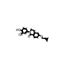 O=C1c2ccc(OCC3CC3)cc2CCN1c1ccc(O)c(Cl)c1